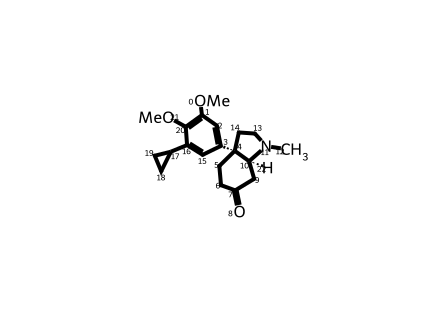 COc1cc([C@@]23CCC(=O)C[C@@H]2N(C)CC3)cc(C2CC2)c1OC